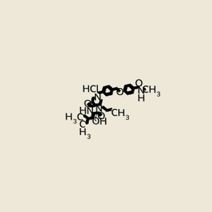 CCCCN1C(=O)[C@@H]([C@H](O)C(CC)CC)NC(=O)C12CCN(Cc1ccc(COc3ccc(C(=O)NC)cc3)cc1)CC2.Cl